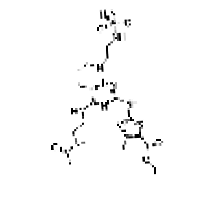 CCOC(=O)c1sc(Nc2nc(NCCNC(C)=O)c3c(n2)N(CCNS(N)(=O)=O)CCC3)nc1C